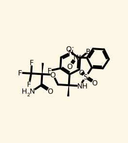 C[C@](CO[C@](C)(C(N)=O)C(F)(F)F)(NS(=O)(=O)c1ccccc1[N+](=O)[O-])c1cc(Br)ncc1F